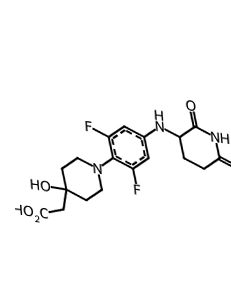 O=C(O)CC1(O)CCN(c2c(F)cc(NC3CCC(=O)NC3=O)cc2F)CC1